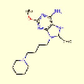 CCCCOc1nc(N)c2c(n1)N(CCCCN1CCCCC1)C(C=O)N2